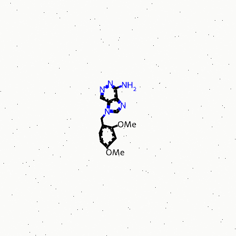 COc1ccc(Cn2cnc3c(N)nncc32)c(OC)c1